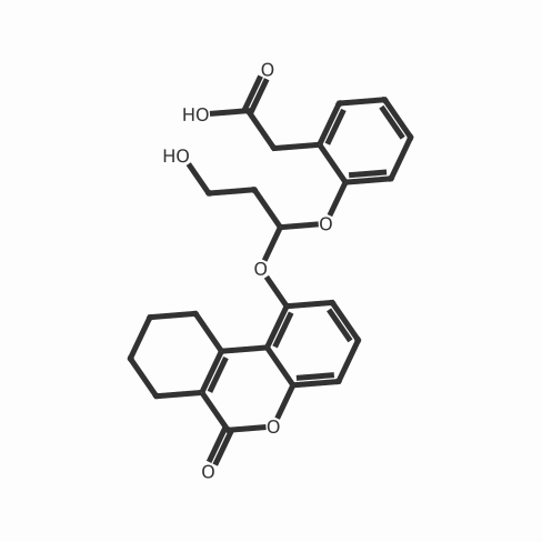 O=C(O)Cc1ccccc1OC(CCO)Oc1cccc2oc(=O)c3c(c12)CCCC3